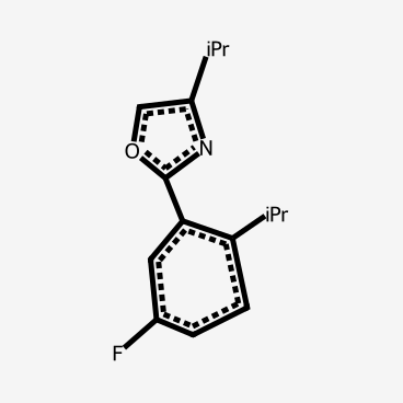 CC(C)c1coc(-c2cc(F)ccc2C(C)C)n1